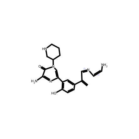 C=C(/C=N\C=C/N)c1ccc(O)c(-c2cn(C3CCCNC3)c(=O)c(N)n2)c1